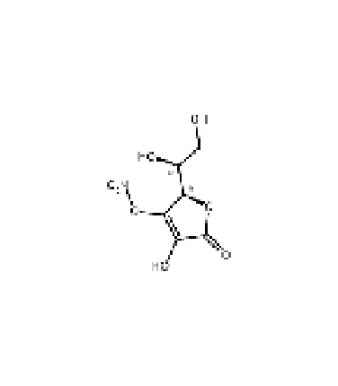 O=C1O[C@H]([C@@H](O)CO)C(O[N+](=O)[O-])=C1O